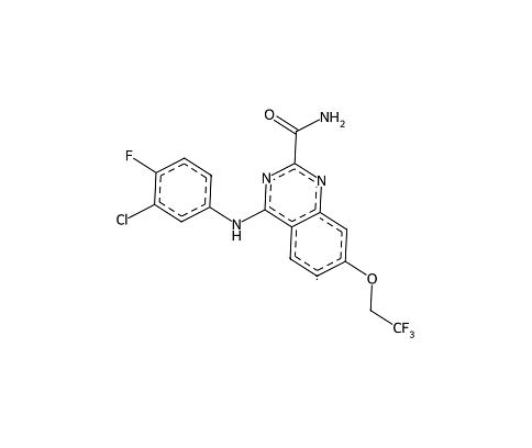 NC(=O)c1nc(Nc2ccc(F)c(Cl)c2)c2c[c]c(OCC(F)(F)F)cc2n1